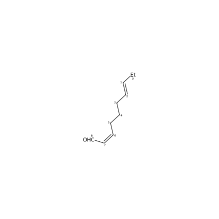 CCC=CCCC/C=C\C=O